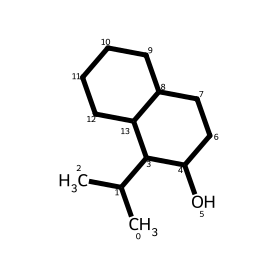 CC(C)C1C(O)CCC2CCCCC21